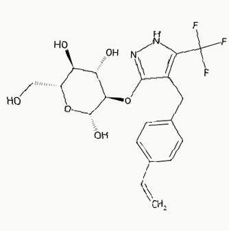 C=Cc1ccc(Cc2c(O[C@@H]3[C@@H](O)[C@H](O)[C@@H](CO)O[C@H]3O)n[nH]c2C(F)(F)F)cc1